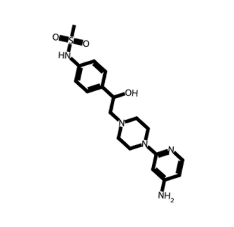 CS(=O)(=O)Nc1ccc(C(O)CN2CCN(c3cc(N)ccn3)CC2)cc1